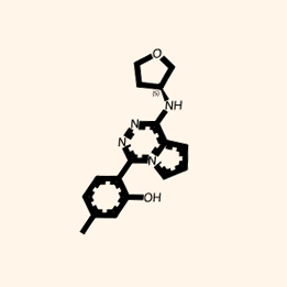 Cc1ccc(-c2nnc(N[C@H]3CCOC3)c3cccn23)c(O)c1